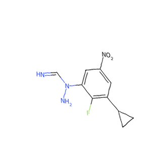 N=CN(N)c1cc([N+](=O)[O-])cc(C2CC2)c1F